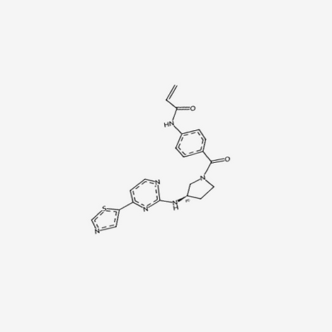 C=CC(=O)Nc1ccc(C(=O)N2CC[C@@H](Nc3nccc(-c4cncs4)n3)C2)cc1